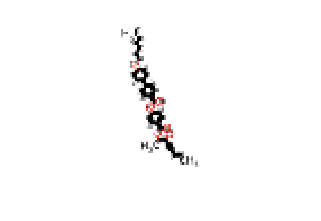 CCCC#CC(=O)C(C)OC(=O)c1ccc(OC(=O)c2ccc(-c3ccc(OCCCCCC)cc3)cc2)cc1